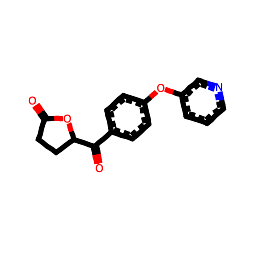 O=C1CCC(C(=O)c2ccc(Oc3cccnc3)cc2)O1